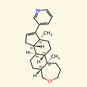 C[C@]12CCCOC[C@@H]1CC[C@@H]1[C@@H]2CC[C@]2(C)C(c3cccnc3)=CC[C@@H]12